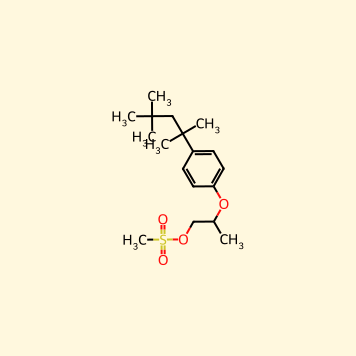 CC(COS(C)(=O)=O)Oc1ccc(C(C)(C)CC(C)(C)C)cc1